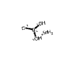 OB(O)Cl.[SrH2]